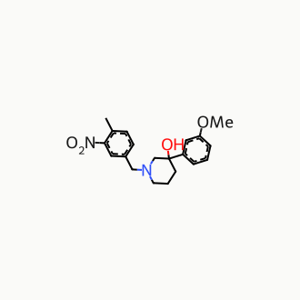 COc1cccc(C2(O)CCCN(Cc3ccc(C)c([N+](=O)[O-])c3)C2)c1